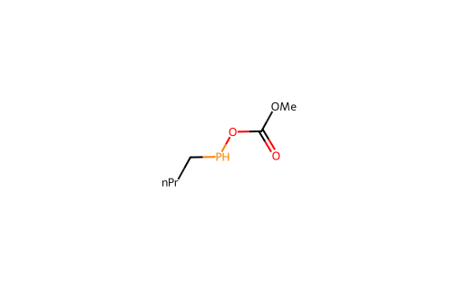 CCCCPOC(=O)OC